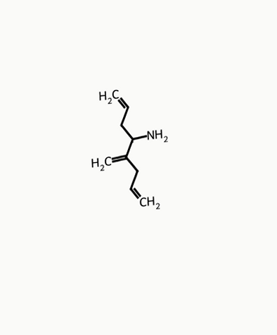 C=CC[C](N)C(=C)CC=C